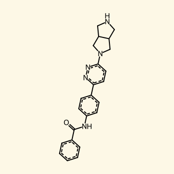 O=C(Nc1ccc(-c2ccc(N3CC4CNCC4C3)nn2)cc1)c1ccccc1